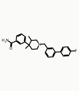 CC1CN(Cc2cccc(-c3ccc(F)cc3)c2)CCC1(C)c1cccc(C(N)=O)c1